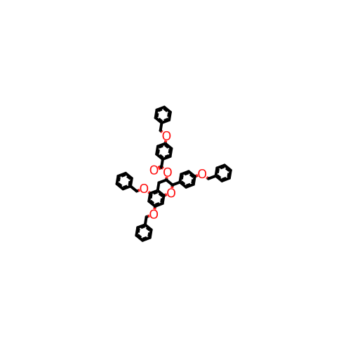 O=C(OC1Cc2c(OCc3ccccc3)cc(OCc3ccccc3)cc2OC1c1ccc(OCc2ccccc2)cc1)c1ccc(OCc2ccccc2)cc1